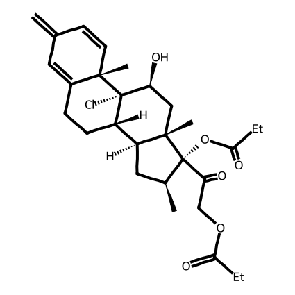 C=C1C=C[C@@]2(C)C(=C1)CC[C@H]1[C@@H]3C[C@H](C)[C@](OC(=O)CC)(C(=O)COC(=O)CC)[C@@]3(C)C[C@H](O)[C@@]12Cl